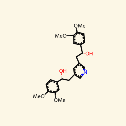 COc1ccc([C@H](O)Cc2cncc(C[C@@H](O)c3ccc(OC)c(OC)c3)c2)cc1OC